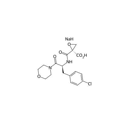 O=C([C@H](Cc1ccc(Cl)cc1)NC(=O)[C@]1(C(=O)O)CO1)N1CCOCC1.[NaH]